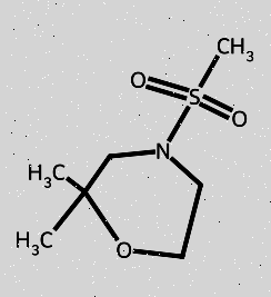 CC1(C)CN(S(C)(=O)=O)CCO1